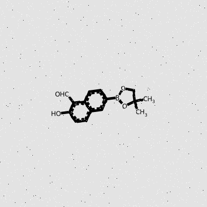 CC1(C)COB(c2ccc3c(C=O)c(O)ccc3c2)O1